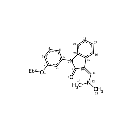 CCOc1cccc(N2C(=O)C(=CN(C)C)c3ccccc32)c1